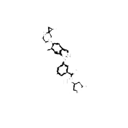 Cc1cc2c(cnn2-c2cccc(C(=O)NC3CCOC3)c2)cc1N1CCNC2(CC2)C1